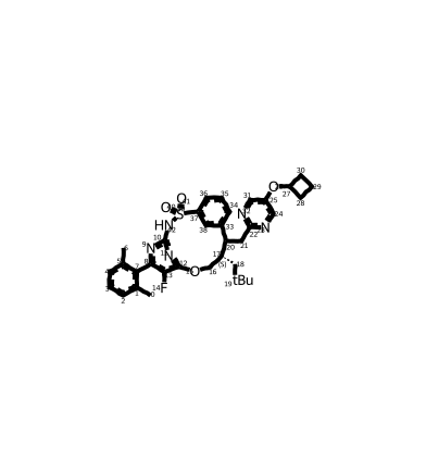 Cc1cccc(C)c1-c1nc2nc(c1F)OC[C@@H](CC(C)(C)C)C(Cc1ncc(OC3CCC3)cn1)c1cccc(c1)S(=O)(=O)N2